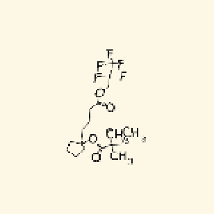 CCC(C)(C)C(=O)OC1(CCCC(=O)OCC(F)(F)C(F)(F)F)CCCC1